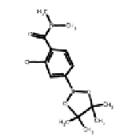 CN(C)C(=O)c1ccc(B2OC(C)(C)C(C)(C)O2)cc1Cl